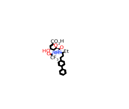 CCC(CCc1ccc(-c2ccccc2)cc1)NC(=O)[C@@H]1OC(C(=O)O)=C[C@@H](O)[C@H]1NC(=O)C(F)(F)F